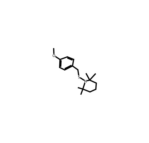 COc1ccc(CSN2C(C)(C)CCCC2(C)C)cc1